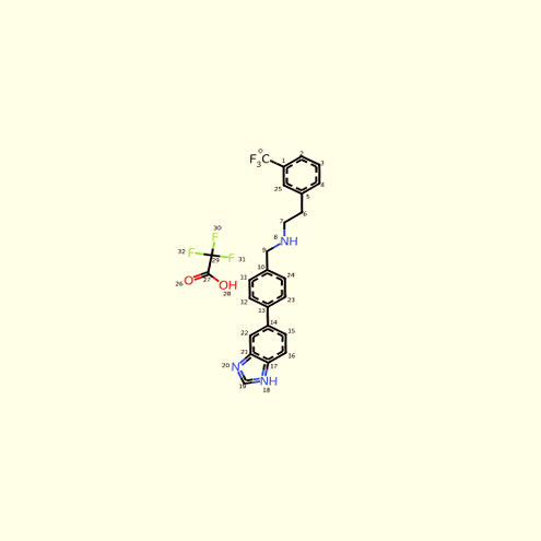 FC(F)(F)c1cccc(CCNCc2ccc(-c3ccc4[nH]cnc4c3)cc2)c1.O=C(O)C(F)(F)F